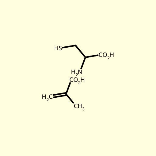 C=C(C)C(=O)O.NC(CS)C(=O)O